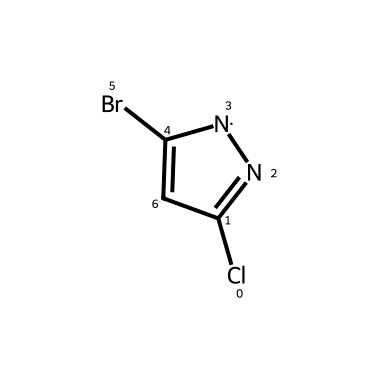 ClC1=N[N]C(Br)=C1